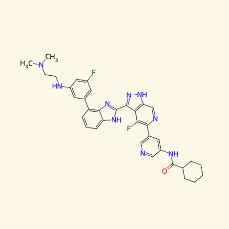 CN(C)CCNc1cc(F)cc(-c2cccc3[nH]c(-c4n[nH]c5cnc(-c6cncc(NC(=O)C7CCCCC7)c6)c(F)c45)nc23)c1